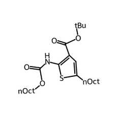 CCCCCCCCOC(=O)Nc1sc(CCCCCCCC)cc1C(=O)OC(C)(C)C